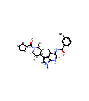 Cc1c(NC(=O)c2cccc(C#N)c2)cnc2c1c(C1C[C@H](C)N(C(=O)C3CCCC3)C[C@H]1C)cn2C